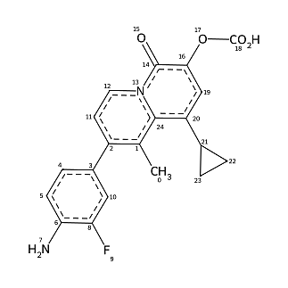 Cc1c(-c2ccc(N)c(F)c2)ccn2c(=O)c(OC(=O)O)cc(C3CC3)c12